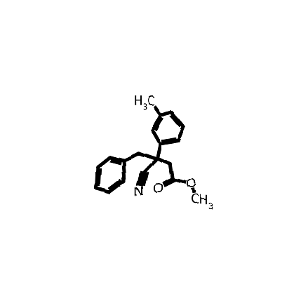 COC(=O)CC(C#N)(Cc1ccccc1)c1cccc(C)c1